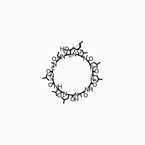 C/C=C/C[C@@H](C)[C@@H](O)[C@@H]1C(=O)N[C@H](CC)C(=O)N(C)CC(=O)N(C)[C@@H](CC(C)C)C(=O)N[C@H](C(C)C)C(=O)N(C)C(CC(C)C)C(=O)N[C@H](C)C(=O)N[C@@H](C)C(=O)N(C)[C@H](CC(C)C)C(=O)N(C)[C@H](CC(C)C)C(=O)N(C)[C@H](C(C)C)C(=O)N1C